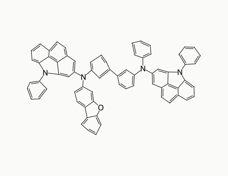 c1ccc(N(c2cccc(-c3cccc(N(c4ccc5c(c4)oc4ccccc45)c4cc5ccc6cccc7c6c5c(c4)n7-c4ccccc4)c3)c2)c2cc3ccc4cccc5c4c3c(c2)n5-c2ccccc2)cc1